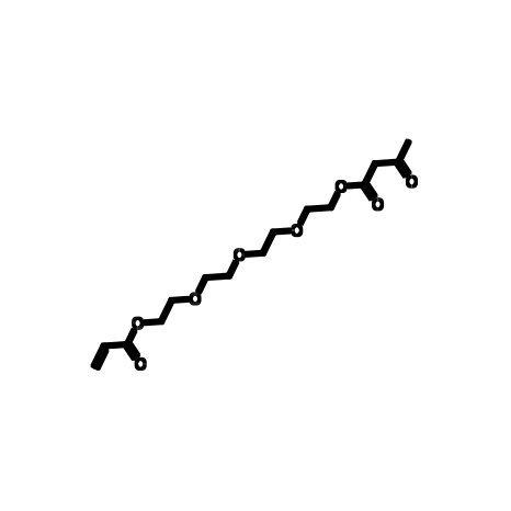 C=CC(=O)OCCOCCOCCOCCOC(=O)CC(C)=O